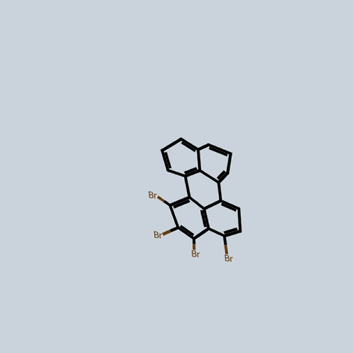 Brc1c(Br)c2c(Br)ccc3c4cccc5cccc(c(c1Br)c23)c54